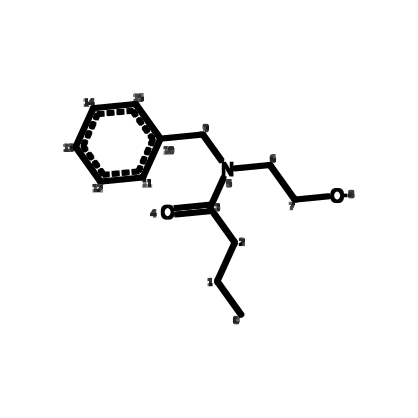 CCCC(=O)N(CC[O])Cc1ccccc1